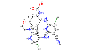 C[C@H](NC(=O)O)[C@H](Nc1nc(Nc2cc(N3CCOCC3)ncc2F)c(C#N)cc1F)C1CC1